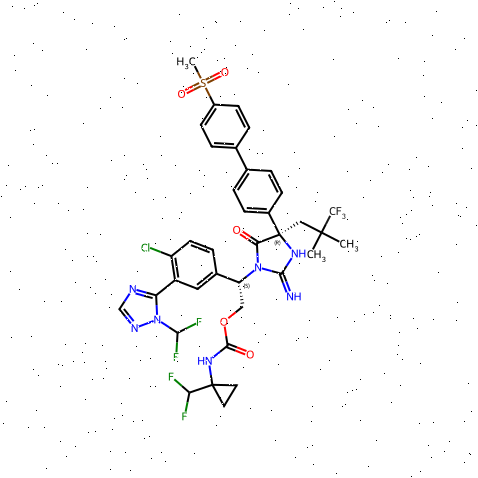 CC(C)(C[C@]1(c2ccc(-c3ccc(S(C)(=O)=O)cc3)cc2)NC(=N)N([C@H](COC(=O)NC2(C(F)F)CC2)c2ccc(Cl)c(-c3ncnn3C(F)F)c2)C1=O)C(F)(F)F